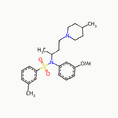 COc1cccc(N(C(C)CCN2CCC(C)CC2)S(=O)(=O)c2cccc(C)c2)c1